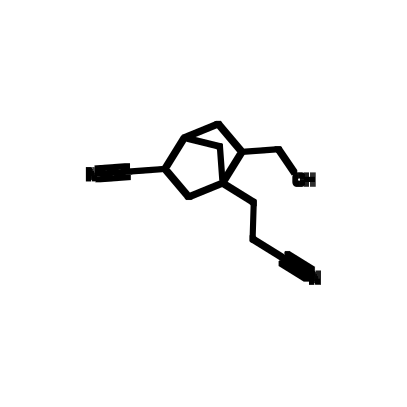 N#CCCC12CC(C#N)C(CC1CO)C2